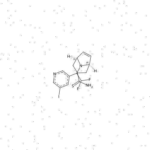 NC(=S)C1(c2cncc(I)c2)C[C@H]2C=C[C@@H](C1)N2CC(F)F